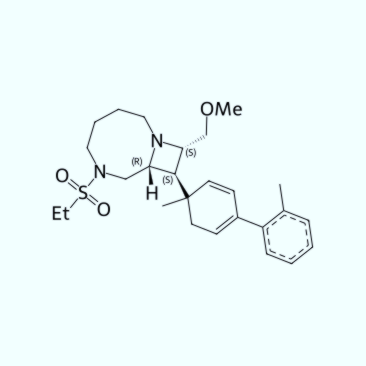 CCS(=O)(=O)N1CCCCN2[C@H](COC)[C@@H](C3(C)C=CC(c4ccccc4C)=CC3)[C@@H]2C1